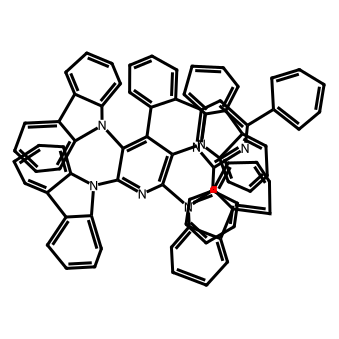 c1ccc(-c2cc(-c3ccccc3-c3c(-n4c5ccccc5c5ccccc54)c(-n4c5ccccc5c5ccccc54)nc(-n4c5ccccc5c5ccccc54)c3-n3c4ccccc4c4ccccc43)nc(-c3ccccc3)n2)cc1